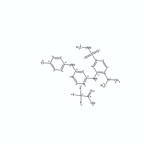 CNS(=O)(=O)c1ccc(N(C)C)c(Nc2cc(Nc3ccc(Cl)cc3)ncn2)c1.O=C(O)C(F)(F)F